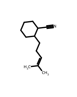 CC(C)=CCCC1CCCCC1C#N